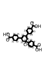 CC1(c2ccc(C(=O)O)cc2)C=C(c2ccc(C(=O)O)cc2)C=C(c2ccc(C(=O)O)cc2)C1